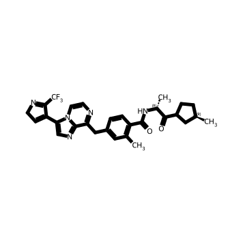 Cc1cc(Cc2nccn3c(C4=CCN=C4C(F)(F)F)cnc23)ccc1C(=O)N[C@H](C)C(=O)C1CC[C@@H](C)C1